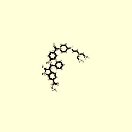 CCN(CC)CCOC1CCN(C(=O)c2ccc(N/C(=C3\C(=O)Nc4cc(C(=O)OC)ccc43)c3ccccc3)cc2)CC1